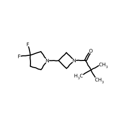 CC(C)(C)C(=O)N1CC(N2CCC(F)(F)C2)C1